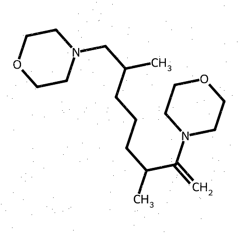 C=C(C(C)CCCC(C)CN1CCOCC1)N1CCOCC1